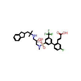 CN(C[C@H](O)CNC(C)(C)CC1Cc2ccccc2C1)S(=O)(=O)c1cc(-c2ccc(F)cc2C=CC(=O)O)cc(C(F)(F)F)c1